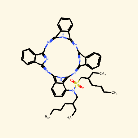 CCCCC(CC)CN(c1cccc2c3nc4nc(nc5[nH]c(nc6nc(nc([nH]3)c12)-c1ccccc1-6)c1ccccc51)-c1ccccc1-4)S(=O)(=O)CC(CC)CCCC